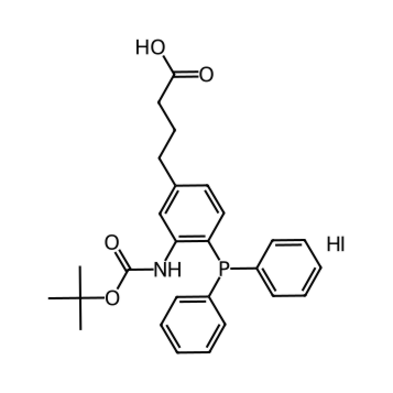 CC(C)(C)OC(=O)Nc1cc(CCCC(=O)O)ccc1P(c1ccccc1)c1ccccc1.I